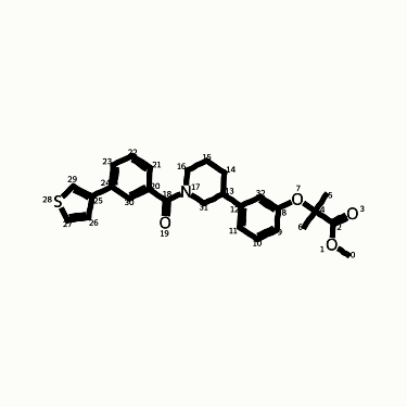 COC(=O)C(C)(C)Oc1cccc(C2CCCN(C(=O)c3cccc(-c4ccsc4)c3)C2)c1